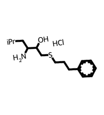 CC(C)CC(N)C(O)CSCCCc1ccccc1.Cl